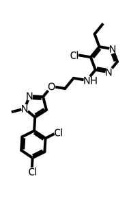 CCc1ncnc(NCCOc2cc(-c3ccc(Cl)cc3Cl)n(C)n2)c1Cl